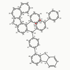 C1=CC2Sc3c(-c4ccc(N(c5ccc(-c6ccccc6)cc5)c5ccc6oc7ccc8ccccc8c7c6c5-c5ccccc5)cc4)cccc3C2C=C1